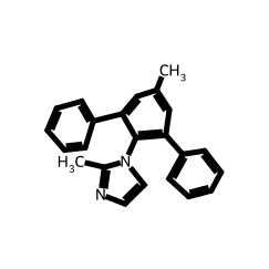 Cc1cc(-c2ccccc2)c(-n2ccnc2C)c(-c2ccccc2)c1